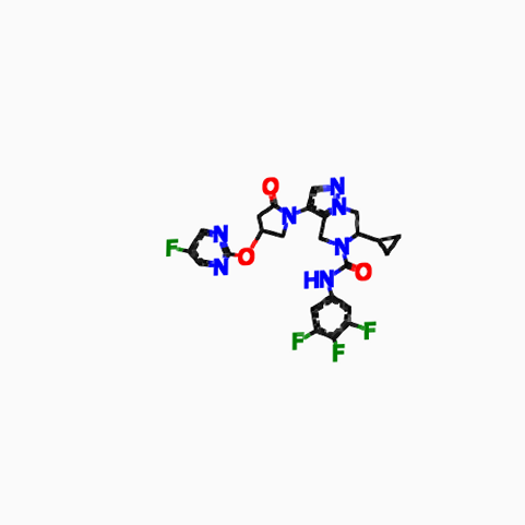 O=C1CC(Oc2ncc(F)cn2)CN1c1cnn2c1CN(C(=O)Nc1cc(F)c(F)c(F)c1)C(C1CC1)C2